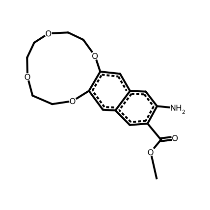 COC(=O)c1cc2cc3c(cc2cc1N)OCCOCCOCCO3